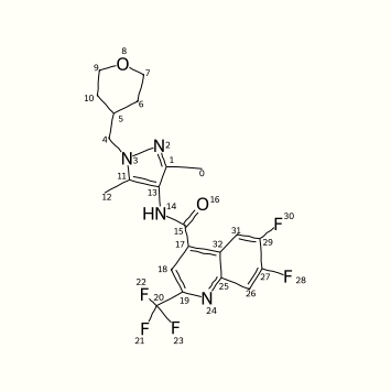 Cc1nn(CC2CCOCC2)c(C)c1NC(=O)c1cc(C(F)(F)F)nc2cc(F)c(F)cc12